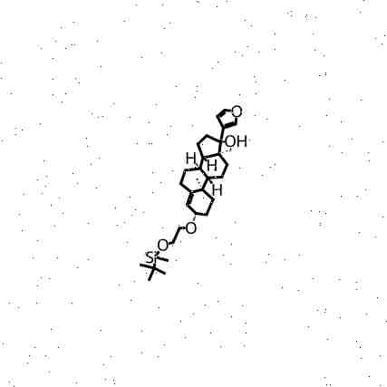 CC(C)(C)[Si](C)(C)OCCO[C@@H]1C=C2CC[C@@H]3[C@H](CC[C@@]4(C)[C@H]3CC[C@@]4(O)c3ccoc3)[C@@]2(C)CC1